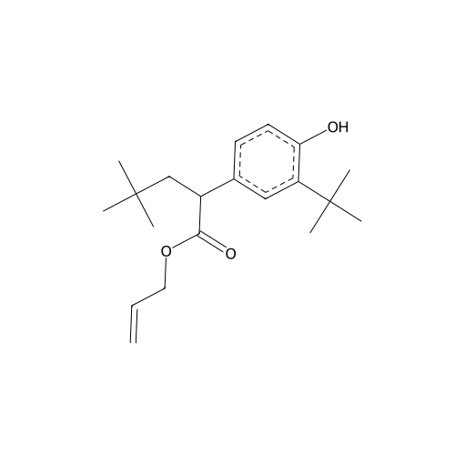 C=CCOC(=O)C(CC(C)(C)C)c1ccc(O)c(C(C)(C)C)c1